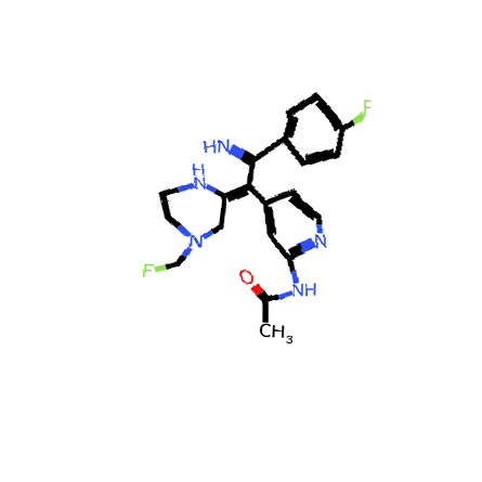 CC(=O)Nc1cc(/C(C(=N)c2ccc(F)cc2)=C2\CN(CF)CCN2)ccn1